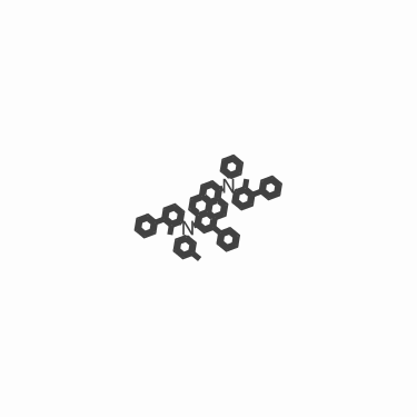 Cc1cccc(N(c2cccc(-c3ccccc3)c2C)c2cc(-c3ccccc3)c3ccc4c(N(c5ccccc5)c5cccc(-c6ccccc6)c5C)ccc5ccc2c3c54)c1